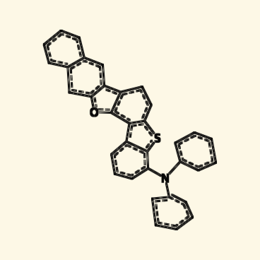 c1ccc(N(c2ccccc2)c2cccc3c2sc2ccc4c5cc6ccccc6cc5oc4c23)cc1